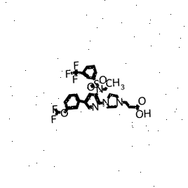 CCN(c1cc(-c2cccc(OC(F)F)c2)cnc1N1CCN(CCC(=O)O)CC1)S(=O)(=O)c1cccc(C(F)(F)F)c1